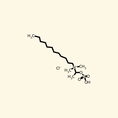 CCCCCCCCCCCC[N+](C)(C)C(C)OS(=O)(=O)O.[Cl-]